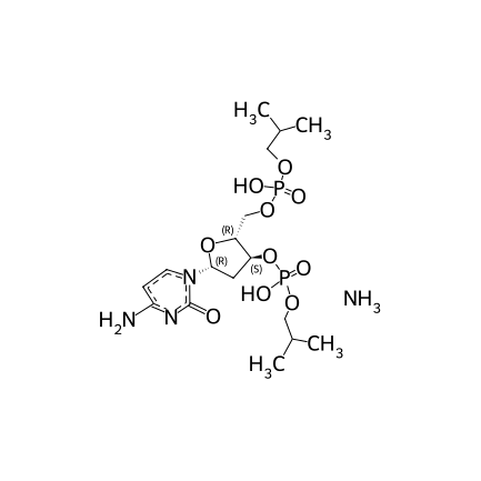 CC(C)COP(=O)(O)OC[C@H]1O[C@@H](n2ccc(N)nc2=O)C[C@@H]1OP(=O)(O)OCC(C)C.N